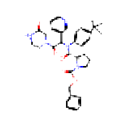 CC(C)(C)c1ccc(N(C(=O)[C@H]2CCCN2C(=O)OCc2ccccc2)C(C(=O)N2CCNC(=O)C2)c2cccnc2)cc1